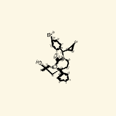 CC(C)(O)C[C@]1(c2ccccc2)CCN(C(c2ccc(Br)cc2)C2CC2)C(=O)O1